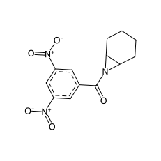 O=C(c1cc([N+](=O)[O-])cc([N+](=O)[O-])c1)N1C2CCCCC21